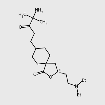 CCN(CC)CC[C@H]1CC2(CCC(CCC(=O)C(C)(C)N)CC2)C(=O)O1